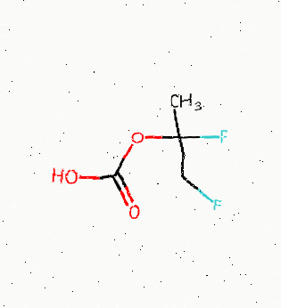 CC(F)(CF)OC(=O)O